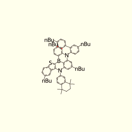 CCCCc1ccc(-c2cc(CCCC)ccc2N2c3cc(CCCC)ccc3B3c4sc5ccc(CCCC)cc5c4N(c4ccc5c(c4)C(C)(C)CCC5(C)C)c4cc(CCCC)cc2c43)cc1